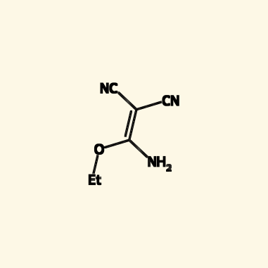 CCOC(N)=C(C#N)C#N